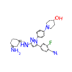 N#Cc1ccc(-c2cc(NC[C@H]3CCC[C@H](N)C3)nn2-c2ccc(N3CCC(O)CC3)cc2)cc1F